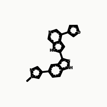 Cn1cc(-c2ccc3[nH]nc(-c4cc5c(-c6ccoc6)cncc5[nH]4)c3c2)cn1